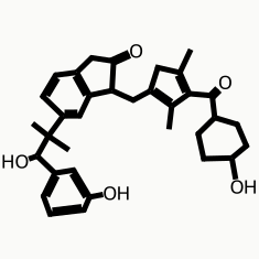 CC1=C(C(=O)C2CCC(O)CC2)C(C)=C(CC2C(=O)Cc3ccc(C(C)(C)C(O)c4cccc(O)c4)cc32)C1